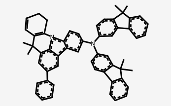 CC1(C)C2=C(CCC=C2)n2c3ccc(N(c4ccc5c(c4)-c4ccccc4C5(C)C)c4ccc5c(c4)C(C)(C)c4ccccc4-5)cc3c3cc(-c4ccccc4)cc1c32